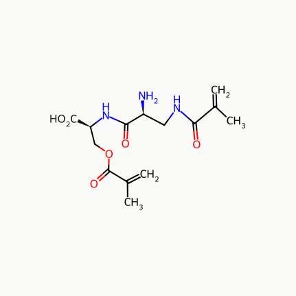 C=C(C)C(=O)NC[C@H](N)C(=O)N[C@@H](COC(=O)C(=C)C)C(=O)O